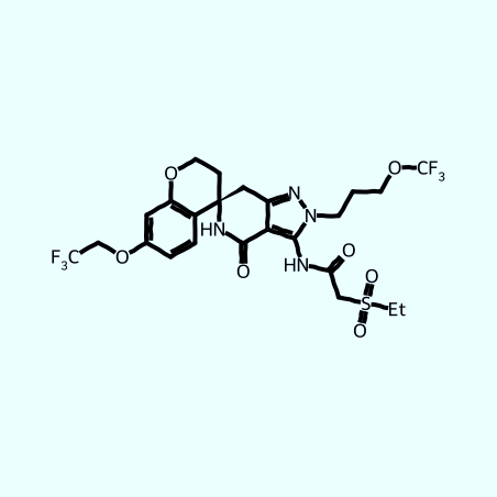 CCS(=O)(=O)CC(=O)Nc1c2c(nn1CCCOC(F)(F)F)C[C@@]1(CCOc3cc(OCC(F)(F)F)ccc31)NC2=O